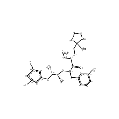 CCCCC1(CC[C@@H](NC(=O)O)C(=O)N(Cc2cccc(CC)c2)C[C@@H](O)[C@@H](N)Cc2cc(F)cc(F)c2)OCCO1